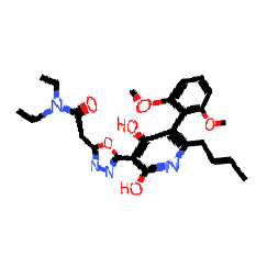 CCCCc1nc(O)c(-c2nnc(CC(=O)N(CC)CC)o2)c(O)c1-c1c(OC)cccc1OC